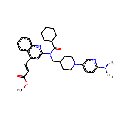 COC(=O)/C=C/c1cc(N(CC2CCN(c3ccc(N(C)C)nc3)CC2)C(=O)C2CCCCC2)nc2ccccc12